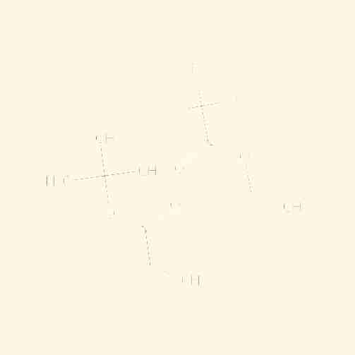 CCC(=O)OC(C)(C)C.CCOC(=O)C(F)(F)F